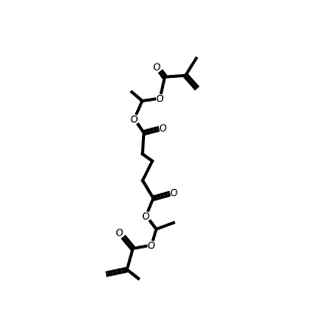 C=C(C)C(=O)OC(C)OC(=O)CCCC(=O)OC(C)OC(=O)C(=C)C